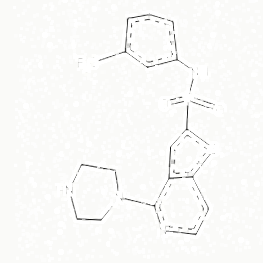 O=S(=O)(Nc1cccc(C(F)(F)F)c1)c1cc2c(N3CCNCC3)nccc2s1